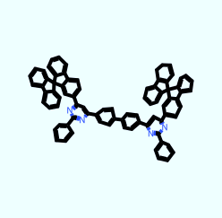 C1=CC2=C(CC1)c1ccccc1C21c2ccccc2-c2ccc(-c3cc(-c4ccc(-c5ccc(-c6cc(-c7ccc8c(c7)C7(c9ccccc9-c9ccccc97)c7ccccc7-8)nc(-c7ccccc7)n6)cc5)cc4)nc(-c4ccccc4)n3)cc21